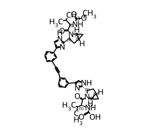 COC(=O)N[C@H](C(=O)N1[C@@H]2C[C@H]2C[C@H]1c1nc(-c2cccc(C#Cc3cccc(-c4c[nH]c([C@@H]5C[C@H]6C[C@H]6N5C(=O)[C@@H](NC(=O)O)C(C)C)n4)c3)c2)c[nH]1)C(C)C